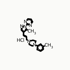 Cc1cccc(N2CCN(CC=Cc3cnn(-c4ncccn4)c3C)CC2)c1.Cl